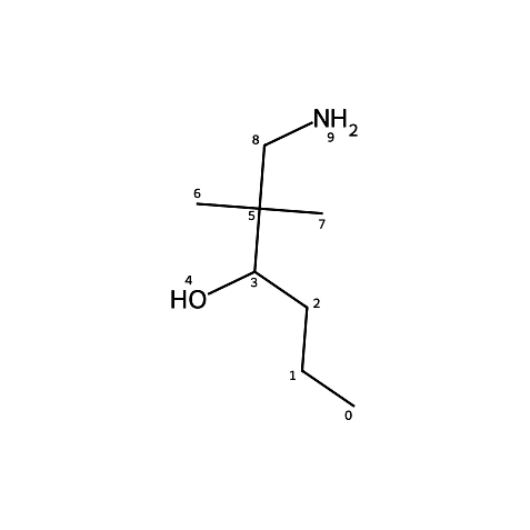 CCCC(O)C(C)(C)CN